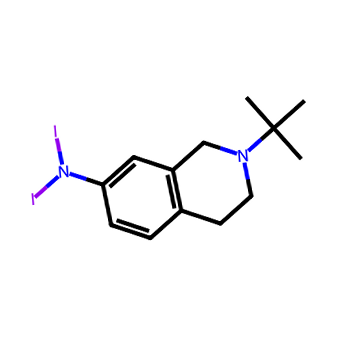 CC(C)(C)N1CCc2ccc(N(I)I)cc2C1